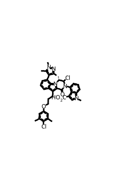 Cc1cc(OCCCc2c3n(c4c(-c5c(C)nn(C)c5C)cccc24)[C@H](C)C(Cl)N(c2cccc4c2c(C(=O)O)cn4C)C3=O)cc(C)c1Cl